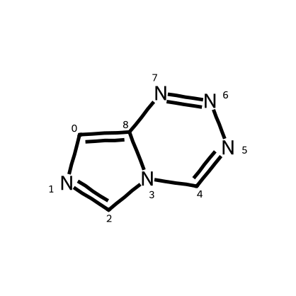 c1ncn2cnnnc12